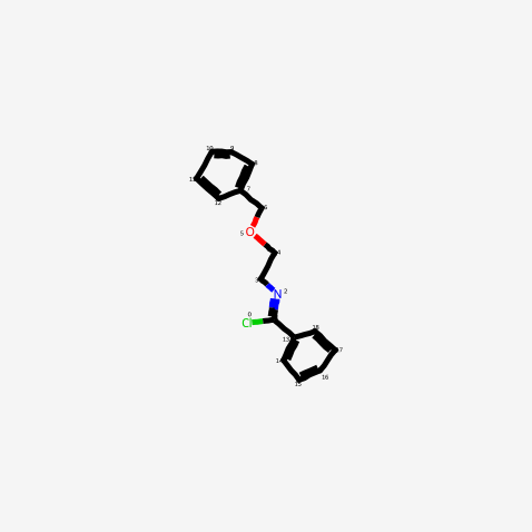 ClC(=NCCOCc1ccccc1)c1ccccc1